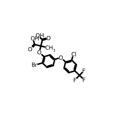 CC(Oc1cc(Oc2ccc(C(F)(F)F)cc2Cl)ccc1Br)(C(=O)O)C(=O)O